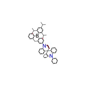 CC(C)c1cc(C(C)C)c(B2c3ccccc3Cc3cc(N4c5ccccc5C5(C6=C(C=CCC6)N(c6ccccc6)c6ccccc65)c5ccccc54)ccc32)c(C(C)C)c1